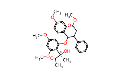 COC(=O)CC(c1ccccc1)C(Oc1cc(OC)cc(OC)c1[C@@](C)(O)C(C)=O)c1ccc(OC)cc1